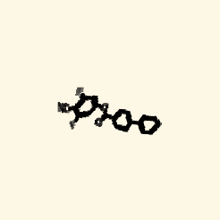 N#Cc1c(F)cc(OC(=O)c2ccc(-c3ccccc3)cc2)cc1F